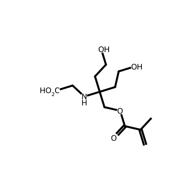 C=C(C)C(=O)OCC(CCO)(CCO)NCC(=O)O